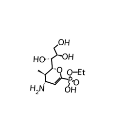 CCOP(=O)(O)C1=C[C@H](N)[C@@H](C)[C@H]([C@H](O)[C@H](O)CO)O1